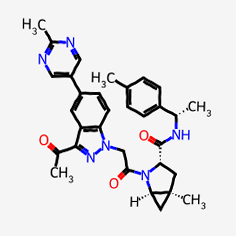 CC(=O)c1nn(CC(=O)N2[C@H](C(=O)N[C@@H](C)c3ccc(C)cc3)C[C@@]3(C)C[C@@H]23)c2ccc(-c3cnc(C)nc3)cc12